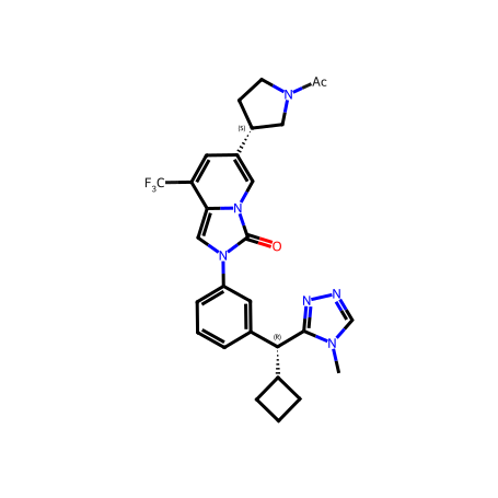 CC(=O)N1CC[C@@H](c2cc(C(F)(F)F)c3cn(-c4cccc([C@H](c5nncn5C)C5CCC5)c4)c(=O)n3c2)C1